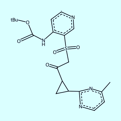 Cc1ccnc(C2CC2C(=O)CS(=O)(=O)c2cn[c]cc2NC(=O)OC(C)(C)C)n1